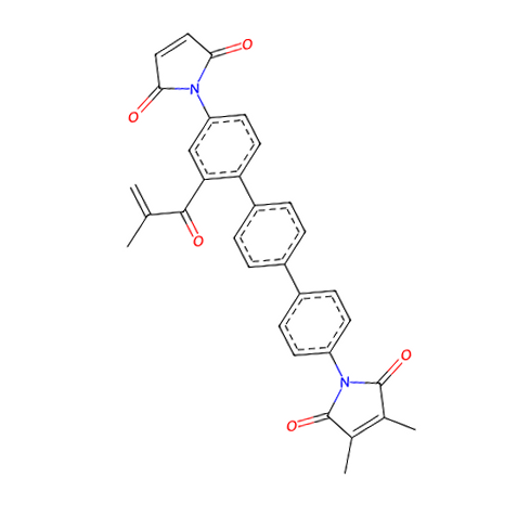 C=C(C)C(=O)c1cc(N2C(=O)C=CC2=O)ccc1-c1ccc(-c2ccc(N3C(=O)C(C)=C(C)C3=O)cc2)cc1